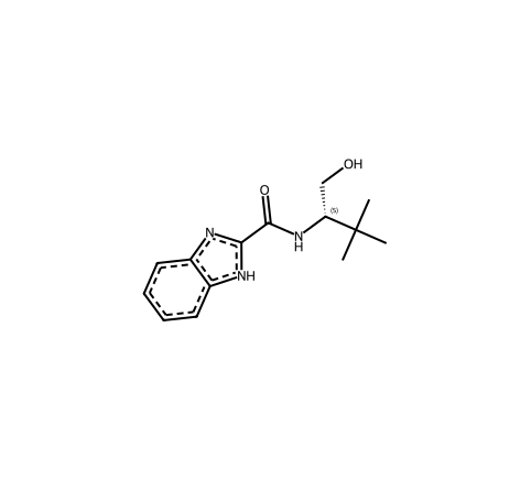 CC(C)(C)[C@@H](CO)NC(=O)c1nc2ccccc2[nH]1